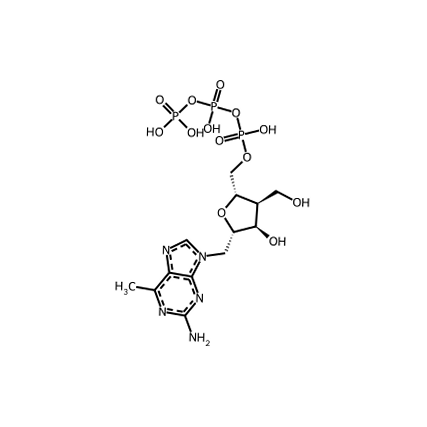 Cc1nc(N)nc2c1ncn2C[C@@H]1O[C@H](COP(=O)(O)OP(=O)(O)OP(=O)(O)O)[C@@H](CO)[C@H]1O